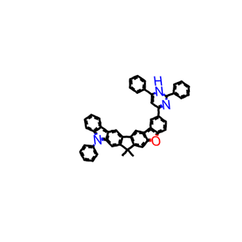 CC1(C)c2cc3oc4ccc(C5=NC(c6ccccc6)NC(c6ccccc6)=C5)cc4c3cc2-c2cc3c4ccccc4n(-c4ccccc4)c3cc21